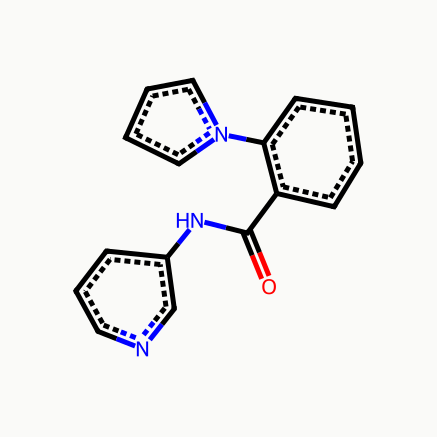 O=C(Nc1cccnc1)c1ccccc1-n1cccc1